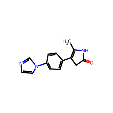 CC1=C(c2ccc(-n3ccnc3)cc2)CC(=O)N1